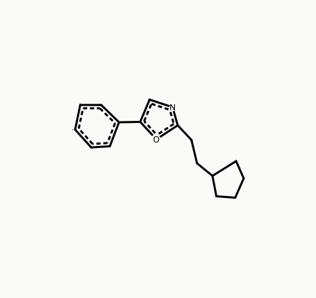 [c]1ccc(-c2cnc(CCC3CCCC3)o2)cc1